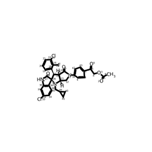 CC(=O)OCC(=O)c1ccc(N2C[C@H]3[C@@H](C2=O)[C@H](c2cccc(Cl)c2F)[C@]2(C(=O)Nc4cc(Cl)ccc42)N3CC2CC2)cc1